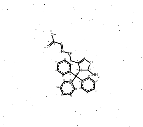 NC1SC=C(CON=CC(=O)O)N1C(c1ccccc1)(c1ccccc1)c1ccccc1